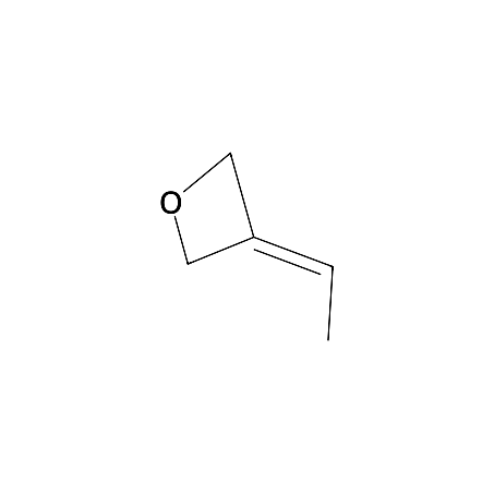 CC=C1COC1